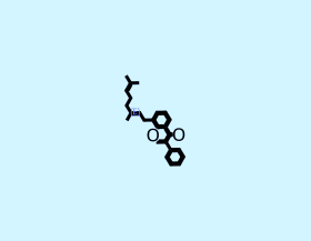 CC(C)=CCC/C(C)=C/Cc1cccc2c(=O)c(-c3ccccc3)coc12